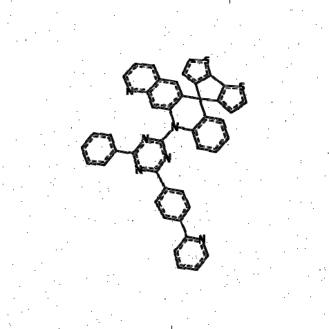 c1ccc(-c2nc(-c3ccc(-c4ccccn4)cc3)nc(N3c4ccccc4C4(c5cc6cccnc6cc53)c3ccsc3-c3sccc34)n2)cc1